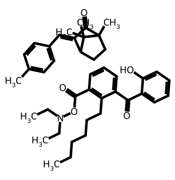 CCCCCCc1c(C(=O)ON(CC)CC)cccc1C(=O)c1ccccc1O.Cc1ccc(C=C2C(=O)C3(C)CCC2C3(C)C)cc1